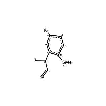 C=C[C](C)c1cc(Br)ccc1SC